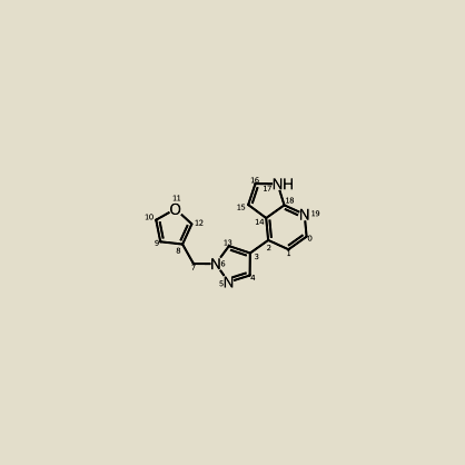 c1cc(-c2cnn(Cc3ccoc3)c2)c2cc[nH]c2n1